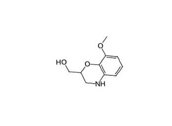 COc1cccc2c1OC(CO)CN2